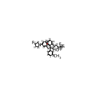 Cc1cccc(C2(Cc3cccc(N4CC[C@H](F)C4)c3)CN(C[C@@H](O)C(F)(F)F)c3ccccc32)c1